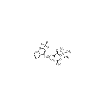 CC(C)(C)OC(=O)N1C[C@H](Oc2cc(C(F)(F)F)nc3ccccc23)C[C@H]1C(=O)O